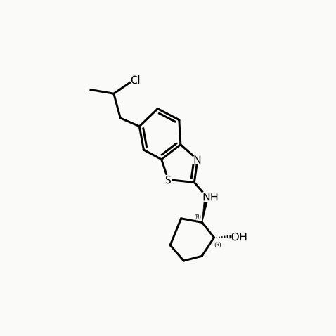 CC(Cl)Cc1ccc2nc(N[C@@H]3CCCC[C@H]3O)sc2c1